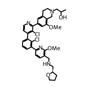 COc1cc(-c2nccc(-c3cccc(-c4ccc(CNC[C@H]5CCCO5)c(OC)n4)c3Cl)c2Cl)cc2c1CN(CC(C)O)CC2